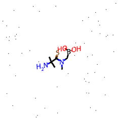 CN(CB(O)O)C(=S)C(C)(C)N